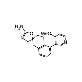 COc1ccncc1-c1cccc2c1CCC1(CN=C(N)O1)C2